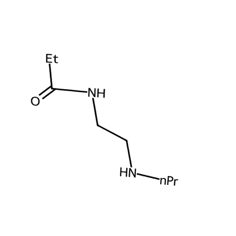 CCCNCCNC(=O)CC